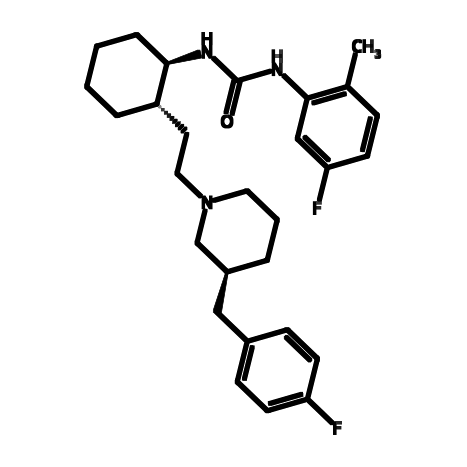 Cc1ccc(F)cc1NC(=O)N[C@@H]1CCCC[C@H]1CCN1CCC[C@@H](Cc2ccc(F)cc2)C1